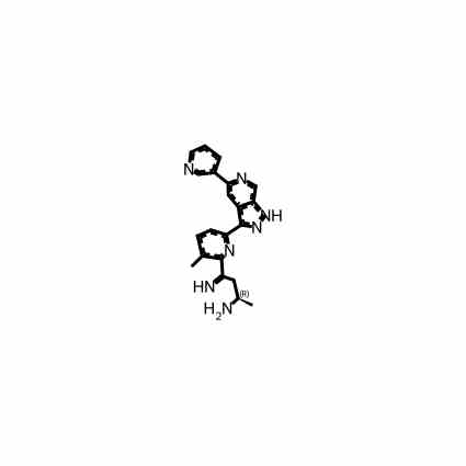 Cc1ccc(-c2n[nH]c3cnc(-c4cccnc4)cc23)nc1C(=N)C[C@@H](C)N